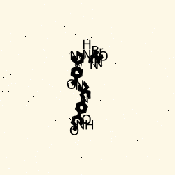 CN1C[C@H](Nc2cnn(C)c(=O)c2Br)C[C@H](c2ccc(C(=O)N3CCC4(CCN(c5ccc(C6CCC(=O)NC6=O)cc5)C4)C3)cc2)C1